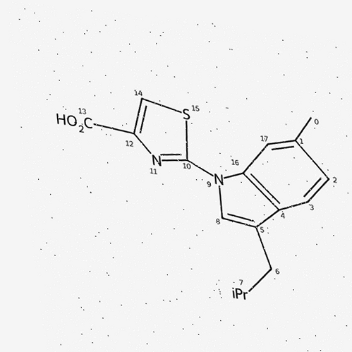 Cc1ccc2c(CC(C)C)cn(-c3nc(C(=O)O)cs3)c2c1